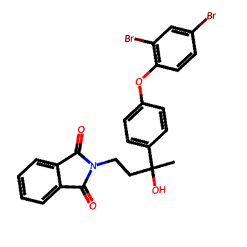 CC(O)(CCN1C(=O)c2ccccc2C1=O)c1ccc(Oc2ccc(Br)cc2Br)cc1